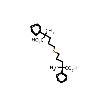 CC(CCCSCCCC(C)(C(=O)O)c1ccccc1)(C(=O)O)c1ccccc1